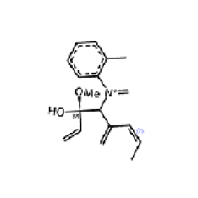 C=C[C@@](O)(OC)C(C(=C)/C=C\C)[N+](=C)c1ccccc1C